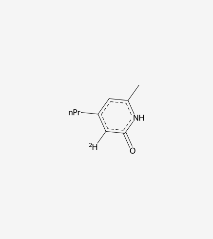 [2H]c1c(CCC)cc(C)[nH]c1=O